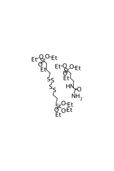 CCO[Si](CCCNC(N)=O)(OCC)OCC.CCO[Si](CCCSSSSCCC[Si](OCC)(OCC)OCC)(OCC)OCC